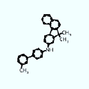 Cc1cccc(-c2ccc(Nc3ccc4c(c3)C(C)(C)c3ccc5ccccc5c3-4)cc2)c1